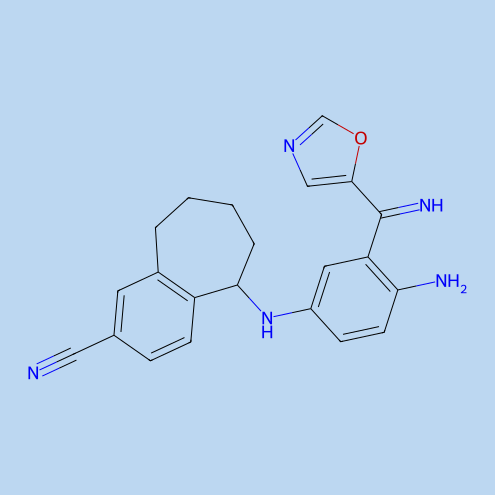 N#Cc1ccc2c(c1)CCCCC2Nc1ccc(N)c(C(=N)c2cnco2)c1